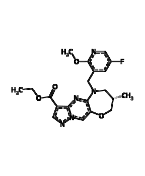 CCOC(=O)c1cnn2cc3c(nc12)N(Cc1cc(F)cnc1OC)C[C@H](C)CO3